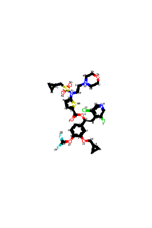 O=C(O[C@@H](Cc1c(Cl)cncc1Cl)c1ccc(OC(F)F)c(OCC2CC2)c1)c1ccc(N(CCN2CCOCC2)S(=O)(=O)CC2CC2)s1